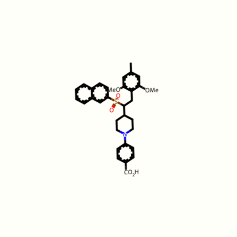 COc1cc(C)cc(OC)c1CC(C1CCN(c2ccc(C(=O)O)cc2)CC1)S(=O)(=O)c1ccc2ccccc2c1